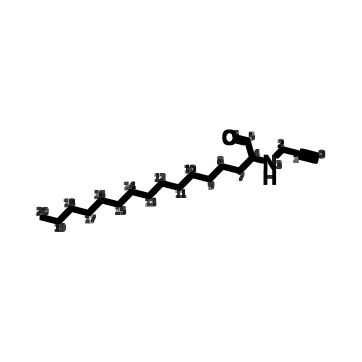 C#CCNC(C=O)CCCCCCCCCCCCCC